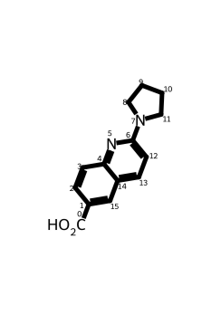 O=C(O)c1ccc2nc(N3CCCC3)ccc2c1